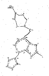 Cc1nc2c(OC3CCC(O)CC3)ccc(-c3nccs3)c2o1